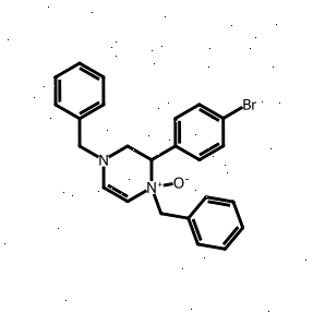 [O-][N+]1(Cc2ccccc2)C=CN(Cc2ccccc2)CC1c1ccc(Br)cc1